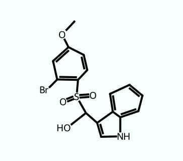 COc1ccc(S(=O)(=O)C(O)c2c[nH]c3ccccc23)c(Br)c1